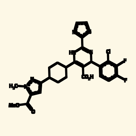 COC(=O)c1cc(C2CCC(C3=C(C(=O)O)C(c4ccc(F)c(F)c4Cl)N=C(c4nccs4)N3)CC2)nn1C